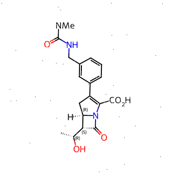 CNC(=O)NCc1cccc(C2=C(C(=O)O)N3C(=O)[C@H]([C@@H](C)O)[C@H]3C2)c1